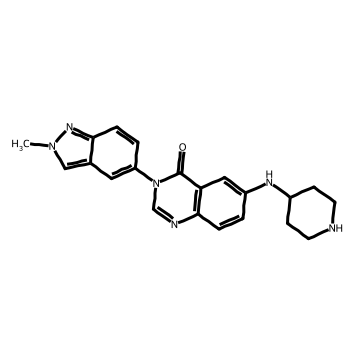 Cn1cc2cc(-n3cnc4ccc(NC5CCNCC5)cc4c3=O)ccc2n1